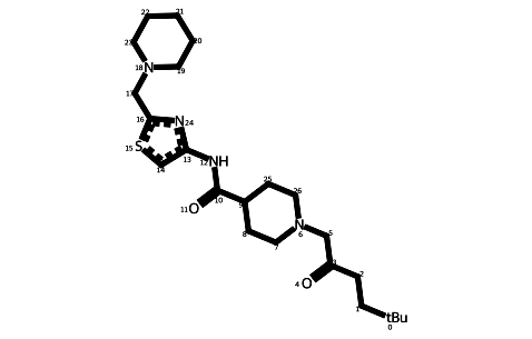 CC(C)(C)CCC(=O)CN1CCC(C(=O)Nc2csc(CN3CCCCC3)n2)CC1